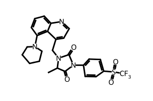 CC1C(=O)N(c2ccc(S(=O)(=O)C(F)(F)F)cc2)C(=O)N1Cc1ccnc2cccc(N3CCCCC3)c12